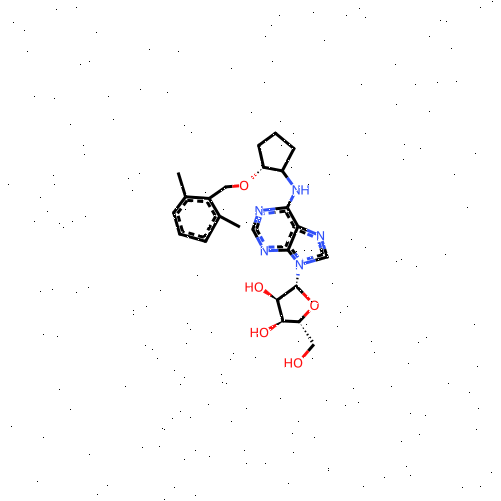 Cc1cccc(C)c1CO[C@@H]1CCCC1Nc1ncnc2c1ncn2[C@@H]1O[C@H](CO)[C@@H](O)[C@H]1O